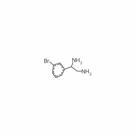 NCC(N)c1cccc(Br)c1